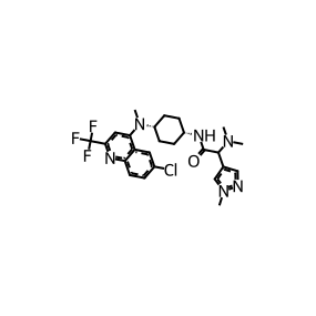 CN(C)C(C(=O)N[C@H]1CC[C@@H](N(C)c2cc(C(F)(F)F)nc3ccc(Cl)cc23)CC1)c1cnn(C)c1